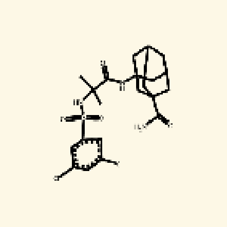 CC(C)(NS(=O)(=O)c1cc(Cl)cc(Cl)c1)C(=O)NC12CC3CC(C1)CC(C(N)=O)(C3)C2